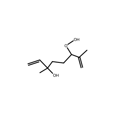 C=CC(C)(O)CCC(OO)C(=C)C